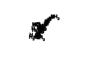 CC(C)(C)C(=O)OCOC(=O)[C@@H]1N2C(=O)[C@@H](N=CN3CC4CC(CSCCN)CC(C4)C3)[C@H]2SC1(C)C.Cl.Cl